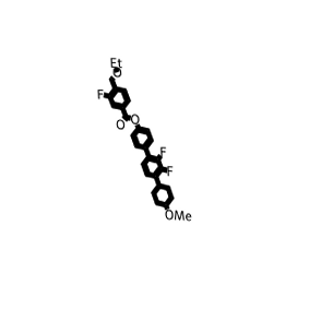 CCOCc1ccc(C(=O)Oc2ccc(-c3ccc(C4CCC(OC)CC4)c(F)c3F)cc2)cc1F